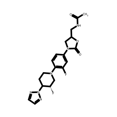 CC(=O)NCC1CN(c2ccc(N3CCC(n4nccn4)[C@@H](F)C3)c(F)c2)C(=O)O1